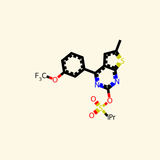 Cc1cc2c(-c3cccc(OC(F)(F)F)c3)nc(OS(=O)(=O)C(C)C)nc2s1